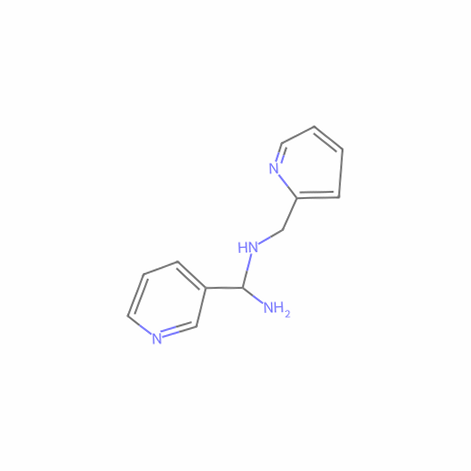 NC(NCc1ccccn1)c1cccnc1